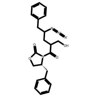 [N-]=[N+]=NC(Cc1ccccc1)CC(CO)C(=O)N1C(=O)OC[C@H]1Cc1ccccc1